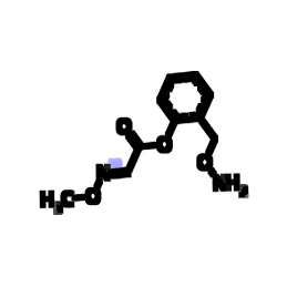 CO/N=C/C(=O)Oc1ccccc1CON